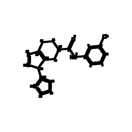 O=C(Nc1cccc(Cl)c1)N1CCC2=C(C1)C(n1cccn1)N=N2